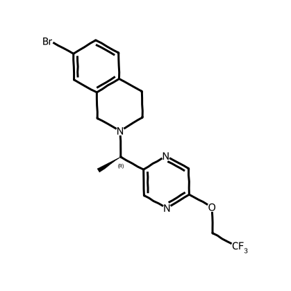 C[C@H](c1cnc(OCC(F)(F)F)cn1)N1CCc2ccc(Br)cc2C1